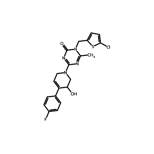 Cc1nc(N2CC=C(c3ccc(F)cc3)C(O)C2)nc(=O)n1Cc1ccc(Cl)s1